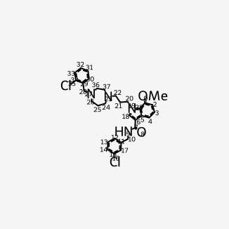 COc1cccc2c(C(=O)NCc3cccc(Cl)c3)cn(CCCN3CCCN(Cc4ccccc4Cl)CC3)c12